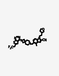 Cc1c(CN2CCC3(CC2)CN(c2ncnc4sc(CC(F)(F)F)cc24)C3)ccc2c1cc(C#N)n2CCC1CCOC1